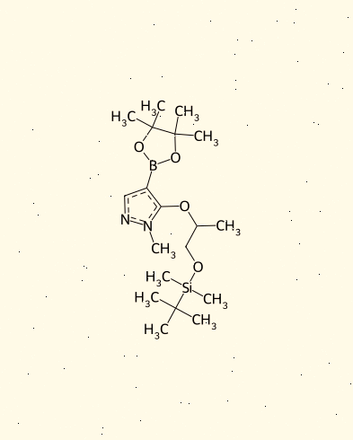 CC(CO[Si](C)(C)C(C)(C)C)Oc1c(B2OC(C)(C)C(C)(C)O2)cnn1C